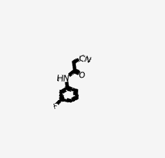 N#CCC(=O)Nc1cccc(F)c1